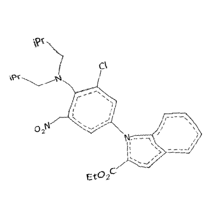 CCOC(=O)c1cc2ccccc2n1-c1cc(Cl)c(N(CC(C)C)CC(C)C)c([N+](=O)[O-])c1